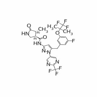 C[C@H]1C(=O)NC[C@@H]1C(=O)Nc1cc(Cc2cc(F)cc(OC(C)(C)C(F)(F)F)c2)n(-c2cnc(C(F)(F)F)nc2)n1